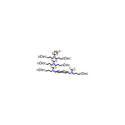 CCCCCCCCCCCCCN(CCCCCCCCCCCCC)C(=S)[S-].CCCCCCCCCCCCCN(CCCCCCCCCCCCC)C(=S)[S-].CCCCCCCCCCCCCN(CCCCCCCCCCCCC)C(=S)[S-].CCCCCCCCCCCCCN(CCCCCCCCCCCCC)C(=S)[S-].[Pb+4]